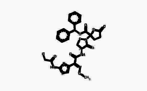 CON=C(C(=O)N[C@H]1CON(C2(C(=O)OC(c3ccccc3)c3ccccc3)CCC(=O)O2)C1=O)c1csc(NC(=O)CCl)n1